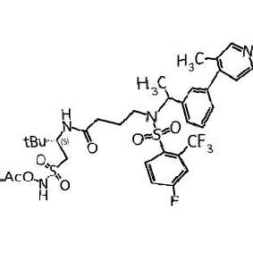 CC(=O)ONS(=O)(=O)C[C@@H](NC(=O)CCCN(C(C)c1cccc(-c2ccncc2C)c1)S(=O)(=O)c1ccc(F)cc1C(F)(F)F)C(C)(C)C